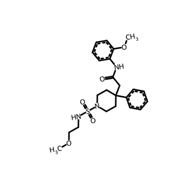 COCCNS(=O)(=O)N1CCC(CC(=O)Nc2ccccc2OC)(c2ccccc2)CC1